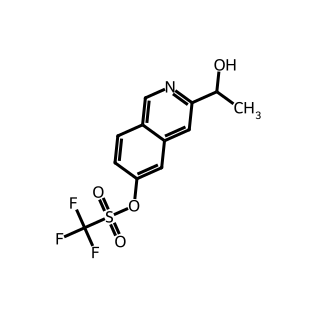 CC(O)c1cc2cc(OS(=O)(=O)C(F)(F)F)ccc2cn1